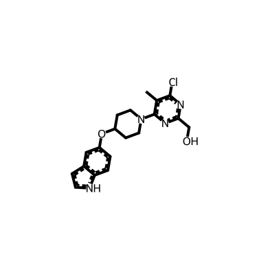 Cc1c(Cl)nc(CO)nc1N1CCC(Oc2ccc3[nH]ccc3c2)CC1